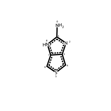 Nc1nc2cscc2[nH]1